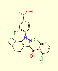 O=C(O)c1ccc(-n2nc(C(=O)c3c(Cl)cccc3Cl)c3c2C2CCC2CC3)c(F)c1